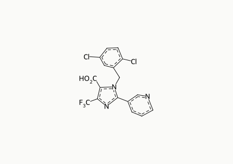 O=C(O)c1c(C(F)(F)F)nc(-c2cccnc2)n1Cc1cc(Cl)ccc1Cl